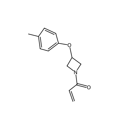 C=CC(=O)N1CC(Oc2ccc(C)cc2)C1